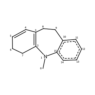 CN1C2=C(C=CCC2)CCc2ccccc21